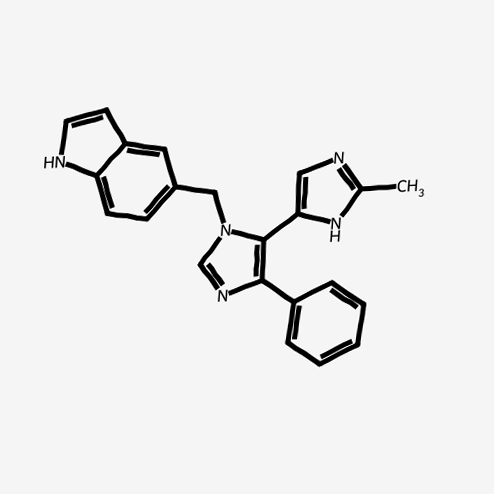 Cc1ncc(-c2c(-c3ccccc3)ncn2Cc2ccc3[nH]ccc3c2)[nH]1